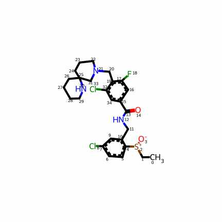 CC[S+]([O-])c1ccc(Cl)cc1CNC(=O)c1cc(F)c(CN2CCCC3(CCCCN3)C2)c(Cl)c1